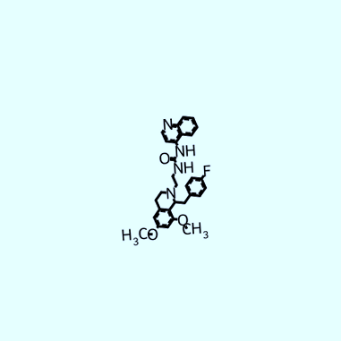 COc1cc2c(c(OC)c1)C(Cc1ccc(F)cc1)N(CCNC(=O)Nc1ccnc3ccccc13)CC2